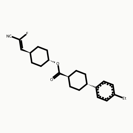 CCc1ccc([C@H]2CC[C@H](C(=O)O[C@H]3CC[C@H](C=C(F)C#N)CC3)CC2)cc1